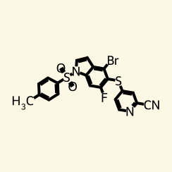 Cc1ccc(S(=O)(=O)n2ccc3c(Br)c(Sc4ccnc(C#N)c4)c(F)cc32)cc1